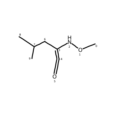 CONC(=C=O)CC(C)C